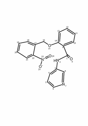 O=C(Nc1cccnc1)c1ccccc1OCc1ccccc1[N+](=O)[O-]